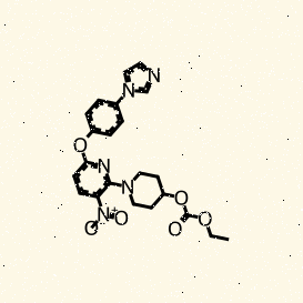 CCOC(=O)OC1CCN(c2nc(Oc3ccc(-n4ccnc4)cc3)ccc2[N+](=O)[O-])CC1